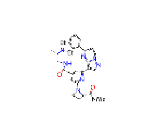 CCN(CC)[C@@H](C)CNC(=O)c1cc(-c2cnn3ccc(-c4ccccc4)nc23)nc(N2CC[C@H]2C(=O)NC)c1